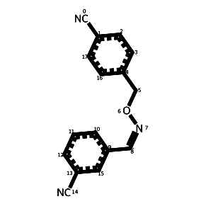 N#Cc1ccc(CO/N=[C]\c2cccc(C#N)c2)cc1